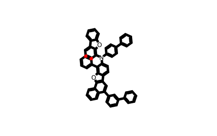 c1ccc(-c2ccc(N(c3ccc4c(oc5c6ccccc6c(-c6cccc(-c7ccccc7)c6)cc45)c3-c3ccccc3)c3cccc4c3oc3ccccc34)cc2)cc1